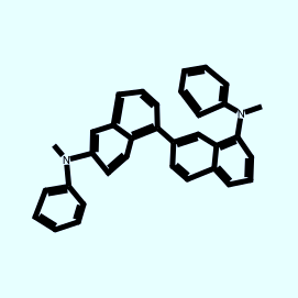 CN(c1ccccc1)c1ccc2c(-c3ccc4cccc(N(C)c5ccccc5)c4c3)cccc2c1